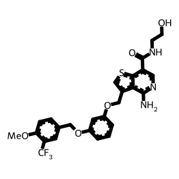 COc1ccc(COc2cccc(OCc3csc4c(C(=O)NCCO)cnc(N)c34)c2)cc1C(F)(F)F